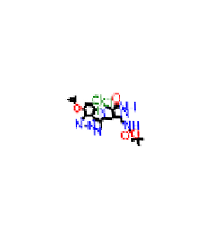 Cn1ncc(-c2cc3c(CNC(=O)OC(C)(C)C)n[nH]c(=O)c3c(Cl)n2)c1-c1c(F)c(Cl)cc(OC2CC2)c1C#N